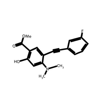 COC(=O)c1cc(C#Cc2cccc(F)c2)c(N(C)C)cc1O